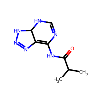 CC(C)C(=O)NC1=C2N=NNC2NC=N1